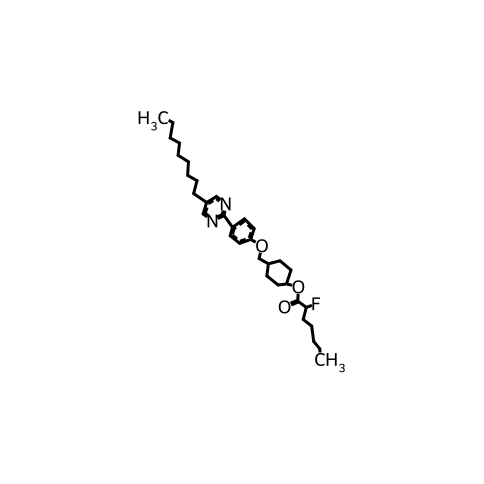 CCCCCCCCCc1cnc(-c2ccc(OCC3CCC(OC(=O)C(F)CCCCC)CC3)cc2)nc1